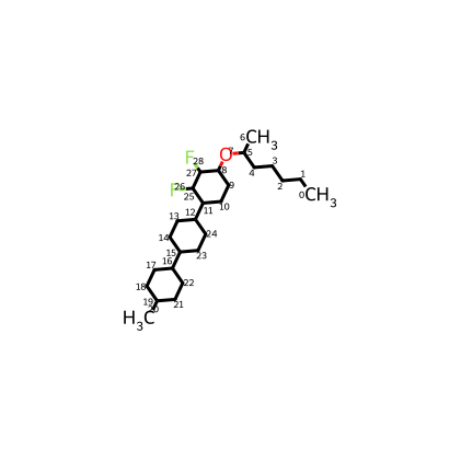 CCCCCC(C)OC1CCC(C2CCC(C3CCC(C)CC3)CC2)C(F)C1F